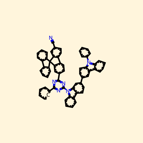 N#Cc1ccc2c(c1)C1(c3ccccc3-c3ccccc31)c1cc(-c3nc(-c4ccccc4)nc(-n4c5ccccc5c5ccc(-c6ccc7c(c6)c6ccccc6n7-c6ccccc6)cc54)n3)ccc1-2